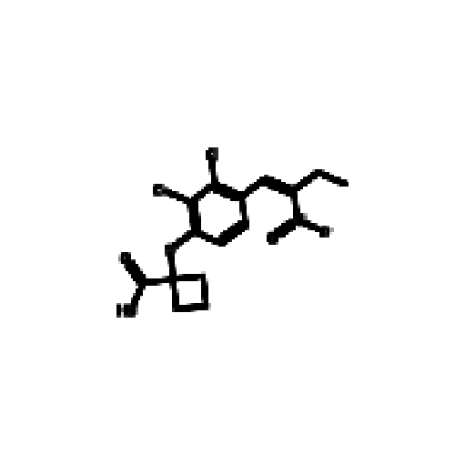 CC/C(=C/c1ccc(OC2(C(=O)O)CCC2)c(Cl)c1Cl)[N+](=O)[O-]